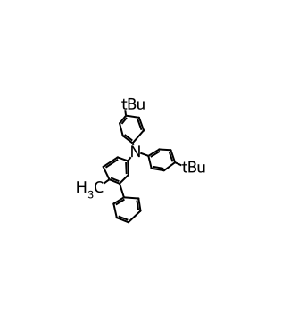 Cc1ccc(N(c2ccc(C(C)(C)C)cc2)c2ccc(C(C)(C)C)cc2)cc1-c1ccccc1